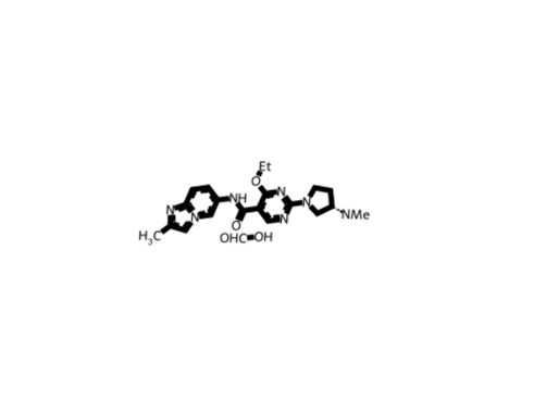 CCOc1nc(N2CC[C@H](NC)C2)ncc1C(=O)Nc1ccc2nc(C)cn2c1.O=CO